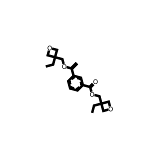 C=C(OCC1(CC)COC1)c1cccc(C(=O)OCC2(CC)COC2)c1